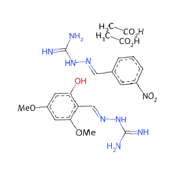 CC(=O)O.CC(=O)O.COc1cc(O)c(C=NNC(=N)N)c(OC)c1.N=C(N)NN=Cc1cccc([N+](=O)[O-])c1